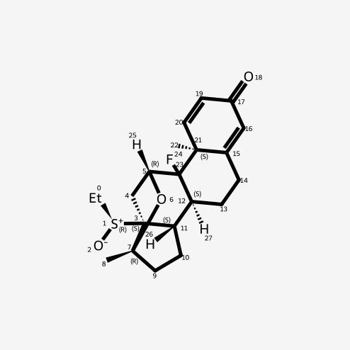 CC[S@+]([O-])[C@]12C[C@H]3O[C@]1(C)CC[C@H]2[C@@H]1CCC2=CC(=O)C=C[C@]2(C)C31F